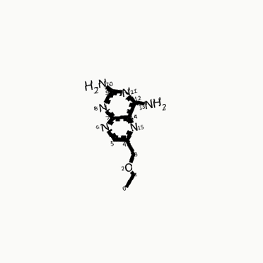 CCOCc1cnc2nc(N)nc(N)c2n1